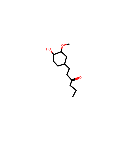 CCCC(=O)CCC1CCC(O)C(OC)C1